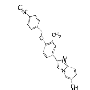 [C-]#[N+]c1ccc(COc2ccc(-c3cn4cc(C)ccc4n3)cc2C)cc1